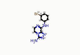 Nc1nnc2c(Nc3cccc(Br)c3)nccn12